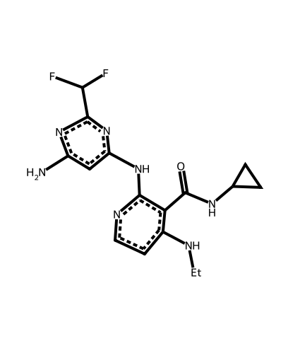 CCNc1ccnc(Nc2cc(N)nc(C(F)F)n2)c1C(=O)NC1CC1